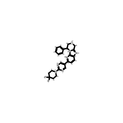 FC1(F)CCN(c2ncc(-c3ccc4nc5n(c4n3)C(c3ccccc3)COC5)cn2)CC1